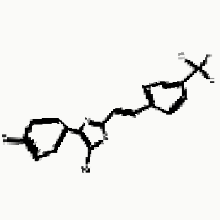 Fc1ccc(-c2nc(C=Cc3ccc(C(F)(F)F)cc3)sc2Br)cc1